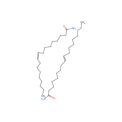 CCCCCCCC/C=C\CCCCCCCC(N)=O.CCCCCCCCC=CCCCCCCCC(N)=O